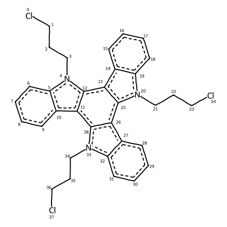 ClCCCn1c2ccccc2c2c1c1c3ccccc3n(CCCCl)c1c1c3ccccc3n(CCCCl)c21